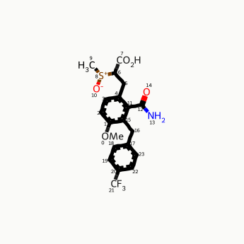 COc1ccc(CC(C(=O)O)[S+](C)[O-])c(C(N)=O)c1Cc1ccc(C(F)(F)F)cc1